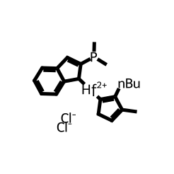 CCCCC1=[C]([Hf+2][CH]2C(P(C)C)=Cc3ccccc32)CC=C1C.[Cl-].[Cl-]